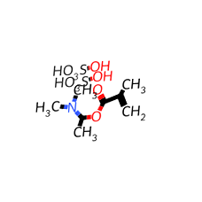 C=C(C)C(=O)OC(C)N(C)C.O=S(=O)(O)O.O=S(=O)(O)O